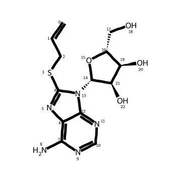 C=CCSc1nc2c(N)ncnc2n1[C@@H]1O[C@H](CO)[C@@H](O)[C@H]1O